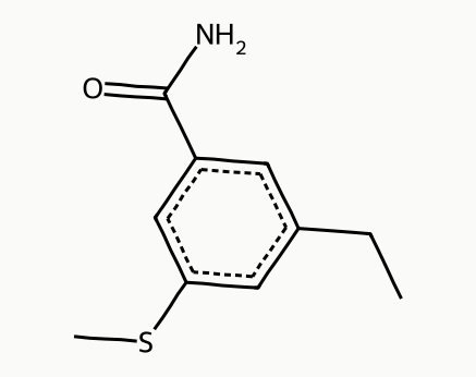 CCc1cc(SC)cc(C(N)=O)c1